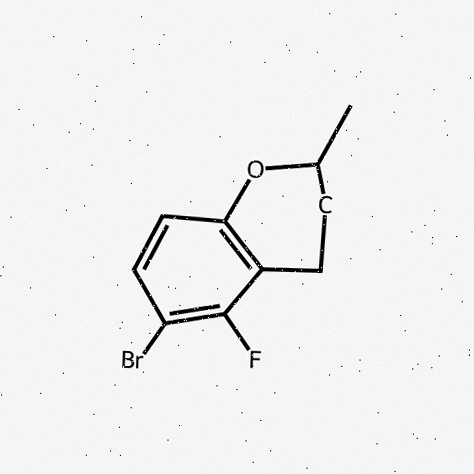 CC1CCc2c(ccc(Br)c2F)O1